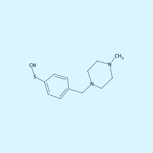 CN1CCN(Cc2ccc(SC#N)cc2)CC1